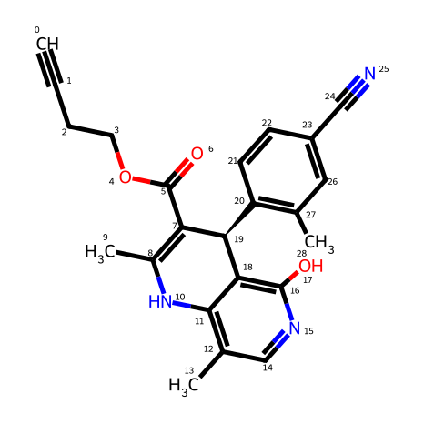 C#CCCOC(=O)C1=C(C)Nc2c(C)cnc(O)c2[C@@H]1c1ccc(C#N)cc1C